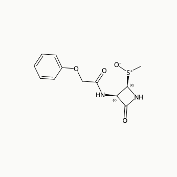 C[S+]([O-])[C@H]1NC(=O)[C@H]1NC(=O)COc1ccccc1